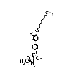 CCCCCCCCCCOc1ccc(-c2ccc(OCC3(CO)COC(C)(C)OC3)cc2)cc1F